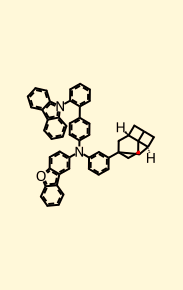 c1cc(N(c2ccc(-c3ccccc3-n3c4ccccc4c4ccccc43)cc2)c2ccc3oc4ccccc4c3c2)cc(C23CCC45C(C[C@H]4C2)C[C@H]5C3)c1